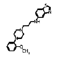 COc1ccccc1N1CCN(CCCNc2ccc3scnc3c2)CC1